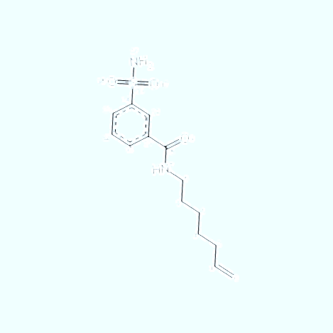 C=CCCCCCNC(=O)c1cccc(S(N)(=O)=O)c1